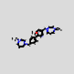 C=C(/C=C\C(=C/C)CN1CCCN(C)CC1)c1ccc(CN2CCCN(C)CC2)cc1